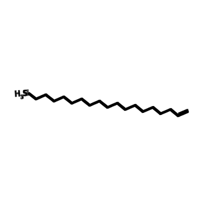 C=CCCCCCCCCCCCCCCCC[SiH3]